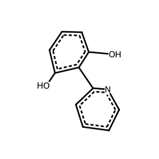 Oc1cccc(O)c1-c1ccccn1